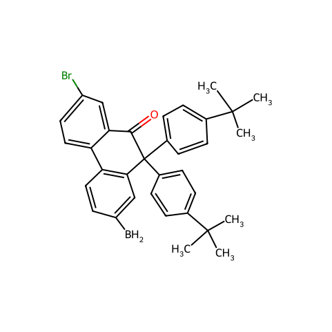 Bc1ccc2c(c1)C(c1ccc(C(C)(C)C)cc1)(c1ccc(C(C)(C)C)cc1)C(=O)c1cc(Br)ccc1-2